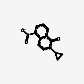 O=c1c2cccc([N+](=O)[O-])c2ccn1C1CC1